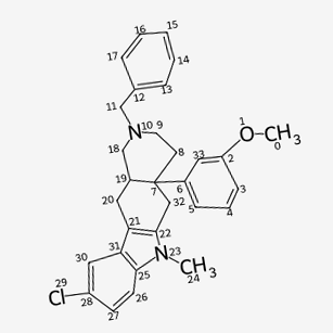 COc1cccc(C23CCN(Cc4ccccc4)CC2Cc2c(n(C)c4ccc(Cl)cc24)C3)c1